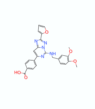 COc1ccc(CNc2nc(-c3ccc(C(=O)O)cc3)cc3nc(-c4ccco4)nn23)cc1OC